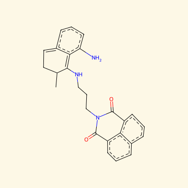 CC1CC=c2cccc(N)c2=C1NCCCN1C(=O)c2cccc3cccc(c23)C1=O